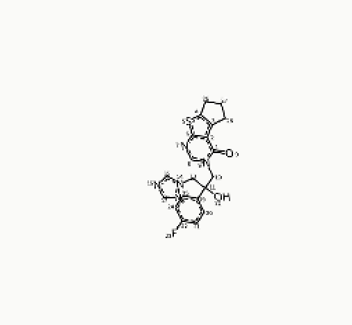 O=c1c2c3c(sc2ncn1CC(O)(Cn1cncn1)c1ccc(F)cc1)CCC3